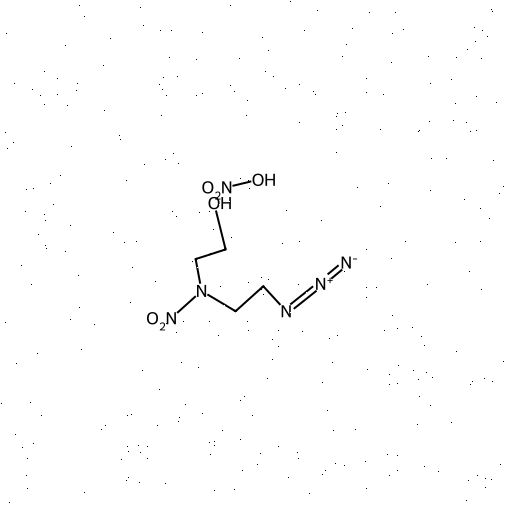 O=[N+]([O-])O.[N-]=[N+]=NCCN(CCO)[N+](=O)[O-]